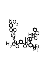 CCN(CC)c1ccc(NC(=O)c2cccc(C(=O)N(C)CCN3CCN(C(=O)Oc4ccc([N+](=O)[O-])cc4)CC3)c2)c(-c2cc(C(=O)NC3CCCc4ccccc43)ccn2)c1